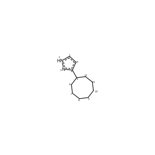 [c]1c[nH]nc1C1CCCCCCC1